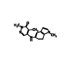 Cc1c(Nc2ccc3c(ccn3C)c2)cnn(C)c1=O